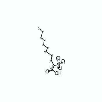 CCCCCCCCCC(C(=O)O)[Si](Cl)(Cl)Cl